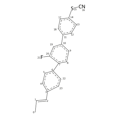 C/C=C/c1ccc(-c2ccc(-c3ccc(SC#N)cc3)cc2F)cc1